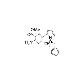 COC(=O)c1cc(-c2ccnn2OCc2ccccc2)c(C(F)(F)F)cc1N